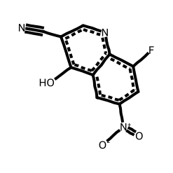 N#Cc1cnc2c(F)cc([N+](=O)[O-])cc2c1O